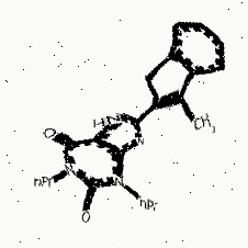 CCCn1c(=O)c2[nH]c(C3=C(C)c4ccccc4C3)nc2n(CCC)c1=O